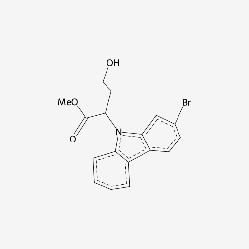 COC(=O)C(CCO)n1c2ccccc2c2ccc(Br)cc21